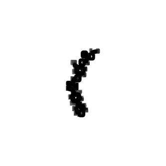 CCOC(=O)COc1ccc(OCc2nc(-c3ccc(N4CCOCC4)cc3)cs2)cc1C